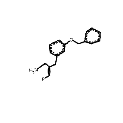 NC/C(=C\F)Cc1cccc(OCc2ccccc2)c1